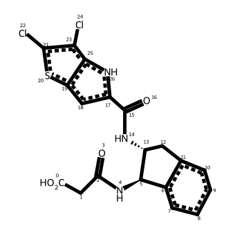 O=C(O)CC(=O)N[C@@H]1c2ccccc2C[C@H]1NC(=O)c1cc2sc(Cl)c(Cl)c2[nH]1